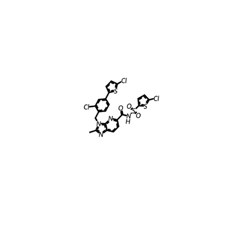 Cc1nc2ccc(C(=O)NS(=O)(=O)c3ccc(Cl)s3)nc2n1Cc1ccc(-c2ccc(Cl)s2)cc1Cl